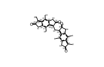 CC1=c2c(C)c3c(c(C)c2CC1=O)=C(CC1=c2c(C)c4c(c(C)c2CC1=O)=C(C)C(=O)C4)C(=O)C3